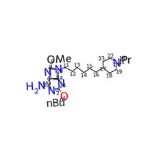 CCCCOc1nc(N)c2nc(OC)n(CCCCCCC3CCN(C(C)C)CC3)c2n1